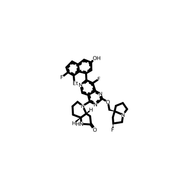 CCc1c(F)ccc2cc(O)cc(-c3ncc4c(N5CCC[C@H]6NC(=O)C[C@H]65)nc(OC[C@@]56CCCN5C[C@H](F)C6)nc4c3F)c12